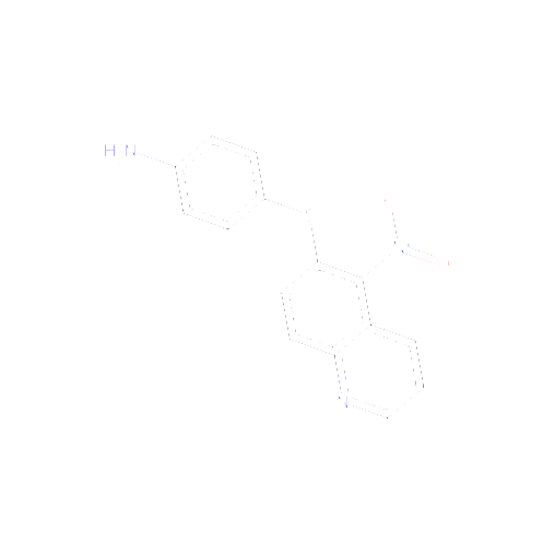 Nc1ccc(Sc2ccc3ncccc3c2[N+](=O)[O-])cc1